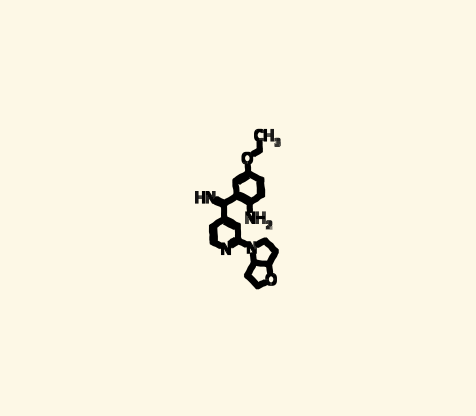 CCOc1ccc(N)c(C(=N)c2ccnc(N3CCC4OCCC43)c2)c1